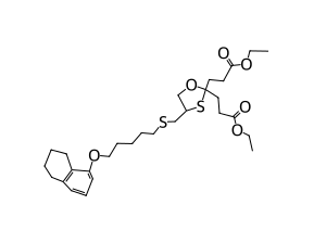 CCOC(=O)CCC1(CCC(=O)OCC)OCC(CSCCCCCOc2cccc3c2CCCC3)S1